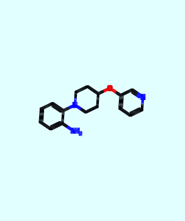 Nc1ccccc1N1CCC(Oc2cccnc2)CC1